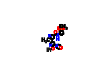 Cc1ncc(C(=O)Nc2cccc(S(C)(=O)=O)c2)cc1-c1cnc(OC(C)C)c(N2CCOCC2)c1